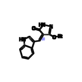 CCOC1=NNC(=O)/C1=C\c1c[nH]c2ccccc12